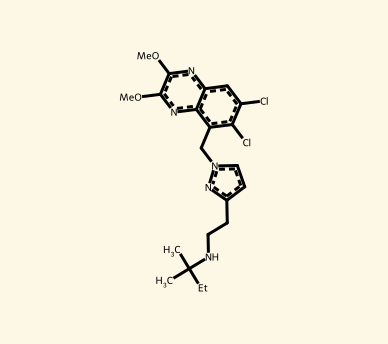 CCC(C)(C)NCCc1ccn(Cc2c(Cl)c(Cl)cc3nc(OC)c(OC)nc23)n1